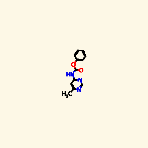 Cc1cc(NC(=O)Oc2ccccc2)ncn1